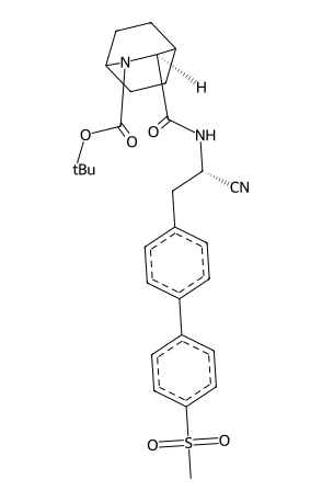 CC(C)(C)OC(=O)N1C2CCC(CC2)[C@H]1C(=O)N[C@H](C#N)Cc1ccc(-c2ccc(S(C)(=O)=O)cc2)cc1